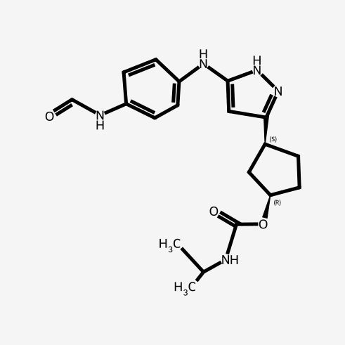 CC(C)NC(=O)O[C@@H]1CC[C@H](c2cc(Nc3ccc(NC=O)cc3)[nH]n2)C1